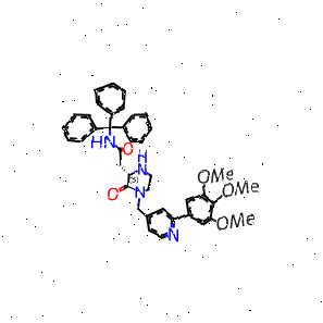 COc1cc(-c2cc(CN3CCN[C@@H](CC(=O)NC(c4ccccc4)(c4ccccc4)c4ccccc4)C3=O)ccn2)cc(OC)c1OC